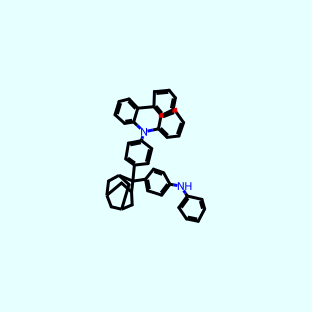 c1ccc(Nc2ccc(C3(c4ccc(N(c5ccccc5)c5ccccc5-c5ccccc5)cc4)C4CC5CC(C4)CC3C5)cc2)cc1